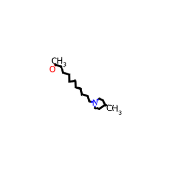 CC(=O)CCCCCCCCCCN1CCC(C)CC1